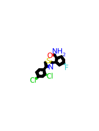 NC(=O)c1ccc(F)cc1-c1nc(-c2ccc(Cl)cc2Cl)cs1